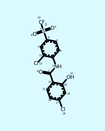 O=C(Nc1ccc(S(=O)(=O)C(F)(F)F)cc1Cl)c1ccc(Cl)cc1O